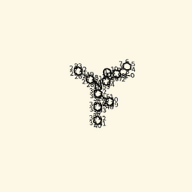 CC1(C)c2ccccc2-c2cc3oc4cc(N(c5ccc(-c6ccccc6)cc5)c5ccc(-c6ccc(-c7ccccc7)cc6)c(-c6ccccc6)c5)ccc4c3cc21